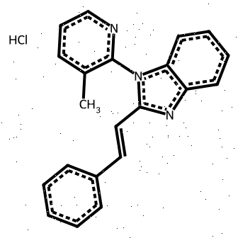 Cc1cccnc1-n1c(C=Cc2ccccc2)nc2ccccc21.Cl